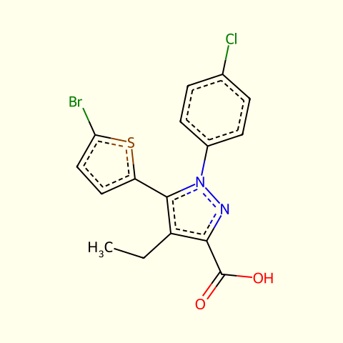 CCc1c(C(=O)O)nn(-c2ccc(Cl)cc2)c1-c1ccc(Br)s1